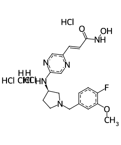 COc1cc(CN2CC[C@@H](Nc3cnc(C=CC(=O)NO)cn3)C2)ccc1F.Cl.Cl.Cl.Cl.Cl